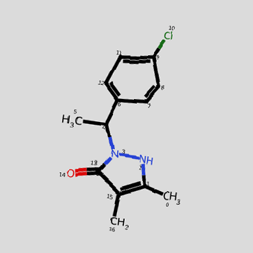 Cc1[nH]n(C(C)c2ccc(Cl)cc2)c(=O)c1C